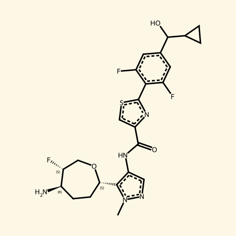 Cn1ncc(NC(=O)c2csc(-c3c(F)cc(C(O)C4CC4)cc3F)n2)c1[C@@H]1CC[C@@H](N)[C@H](F)CO1